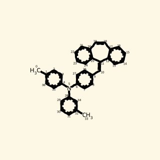 Cc1ccc(N(c2ccc(C=C3c4ccccc4C=Cc4ccccc43)cc2)c2cccc(C)c2)cc1